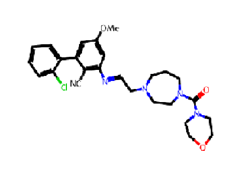 COc1cc(N=CCN2CCCN(C(=O)N3CCOCC3)CC2)c(C#N)c(-c2ccccc2Cl)c1